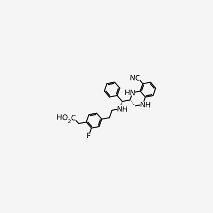 N#Cc1cccc2c1N[C@@H]([C@H](NCCc1ccc(CC(=O)O)c(F)c1)c1ccccc1)CN2